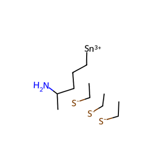 CC(N)CC[CH2][Sn+3].CC[S-].CC[S-].CC[S-]